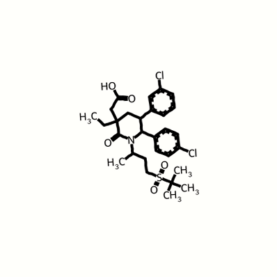 CCC1(CC(=O)O)CC(c2cccc(Cl)c2)C(c2ccc(Cl)cc2)N(C(C)CCS(=O)(=O)C(C)(C)C)C1=O